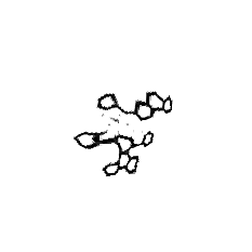 c1ccc2c(c1)ccc1cc(-c3nc(-n4c5ccccc5c5c6c7ccccc7c7ccccc7c6c6c7ccccc7oc6c54)nc4ccccc34)ccc12